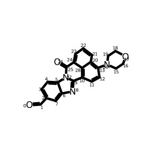 O=Cc1ccc2c(c1)nc1c3ccc(N4CCOCC4)c4cccc(c(=O)n21)c43